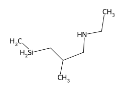 CCNCC(C)C[SiH2]C